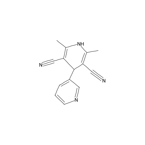 CC1=C(C#N)C(c2cccnc2)C(C#N)=C(C)N1